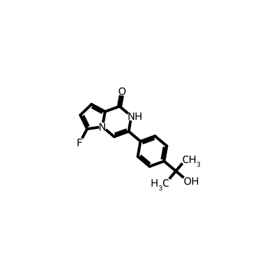 CC(C)(O)c1ccc(-c2cn3c(F)ccc3c(=O)[nH]2)cc1